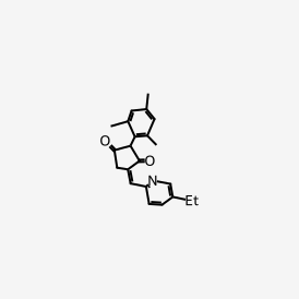 CCc1ccc(C=C2CC(=O)C(c3c(C)cc(C)cc3C)C2=O)nc1